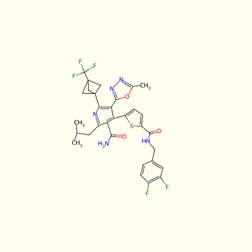 Cc1nnc(-c2c(C34CC(C(F)(F)F)(C3)C4)nc(CC(C)C)c(C(N)=O)c2-c2ccc(C(=O)NCc3ccc(F)c(F)c3)s2)o1